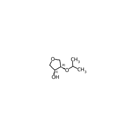 CC(C)O[C@@H]1COC[C@@H]1O